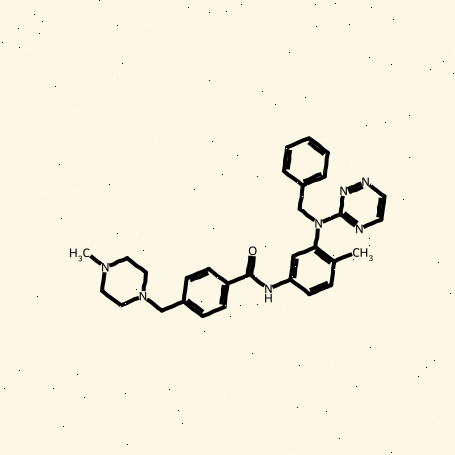 Cc1ccc(NC(=O)c2ccc(CN3CCN(C)CC3)cc2)cc1N(Cc1ccccc1)c1nccnn1